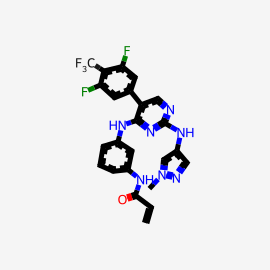 C=CC(=O)Nc1cccc(Nc2nc(Nc3cnn(C)c3)ncc2-c2cc(F)c(C(F)(F)F)c(F)c2)c1